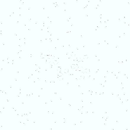 CC1(C)c2ccccc2-c2ccc3c(c21)C(C)(C)c1ccc(-c2ccc4c(c2)c2cc(-c5ccc6c(c5)c5cc7c(cc5n6-c5nc(-c6ccccc6)cc(-c6ccccc6)n5)c5ccccc5n7-c5ccccc5)ccc2n4-c2ccccc2)cc1-3